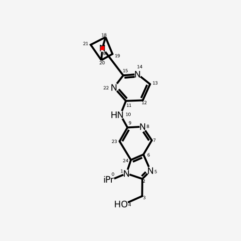 CC(C)n1c(CO)nc2cnc(Nc3ccnc(N4CC5CC4C5)n3)cc21